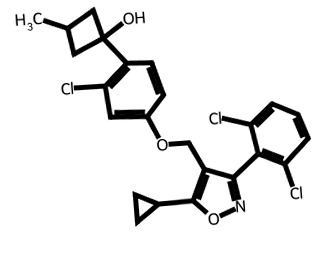 CC1CC(O)(c2ccc(OCc3c(-c4c(Cl)cccc4Cl)noc3C3CC3)cc2Cl)C1